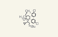 C=CC[C@@]1(C)C[C@H](c2cccc(Cl)c2)[C@H](c2ccc(Cl)cc2)N(C(CSC(C)(C)C)C2CC2)C1=O